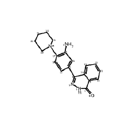 Nc1cc(-c2n[nH]c(=O)c3ccccc23)ccc1N1CCCCC1